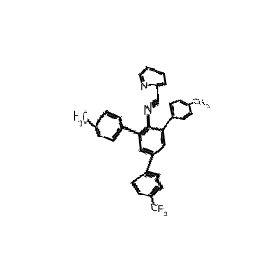 Cc1ccc(-c2cc(-c3ccc(C(F)(F)F)cc3)cc(-c3ccc(C)cc3)c2/N=C/c2ccccn2)cc1